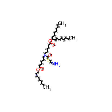 CCCCCC/C=C\COC(=O)CCCCCN(CCCCCC(=O)OC(CCCCCCCC)CCCCCCCC)C(=O)SCCN